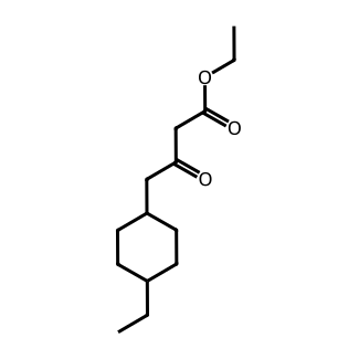 CCOC(=O)CC(=O)CC1CCC(CC)CC1